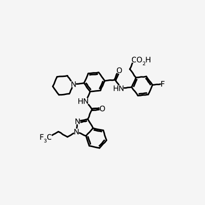 O=C(O)Cc1cc(F)ccc1NC(=O)c1ccc(N2CCCCC2)c(NC(=O)c2nn(CCC(F)(F)F)c3ccccc23)c1